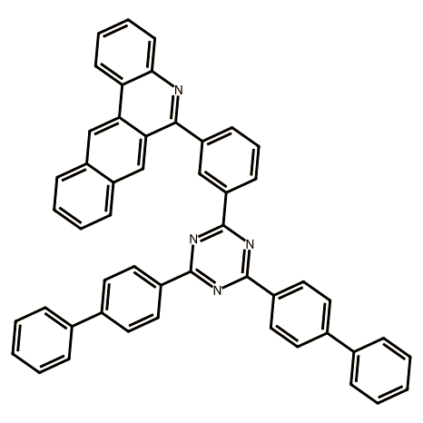 c1ccc(-c2ccc(-c3nc(-c4ccc(-c5ccccc5)cc4)nc(-c4cccc(-c5nc6ccccc6c6cc7ccccc7cc56)c4)n3)cc2)cc1